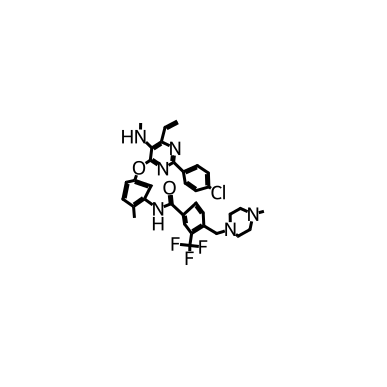 C=Cc1nc(-c2ccc(Cl)cc2)nc(Oc2ccc(C)c(NC(=O)c3ccc(CN4CCN(C)CC4)c(C(F)(F)F)c3)c2)c1NC